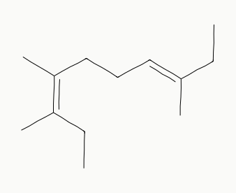 CCC(C)=CCCC(C)=C(C)CC